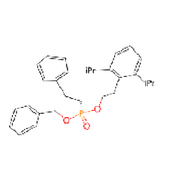 CC(C)c1cccc(C(C)C)c1CCO[P@](=O)(CCc1ccccc1)OCc1ccccc1